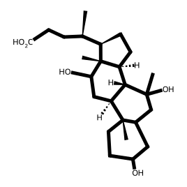 C[C@H](CCC(=O)O)[C@H]1CC[C@H]2[C@H]3[C@H](CC(O)[C@]12C)[C@@]1(C)CCC(O)CC1CC3(C)O